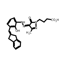 CC1=NN(CCCC(=O)O)C(=O)/C1=N\Nc1cccc(C=C2Cc3ccccc3C2)c1O